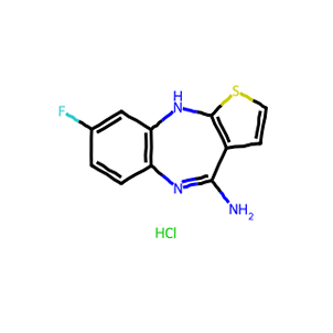 Cl.NC1=Nc2ccc(F)cc2Nc2sccc21